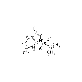 CN(C)S(=O)(=O)n1cc(I)c2ncc(Cl)nc21